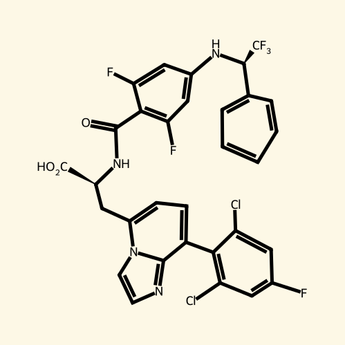 O=C(N[C@@H](Cc1ccc(-c2c(Cl)cc(F)cc2Cl)c2nccn12)C(=O)O)c1c(F)cc(N[C@H](c2ccccc2)C(F)(F)F)cc1F